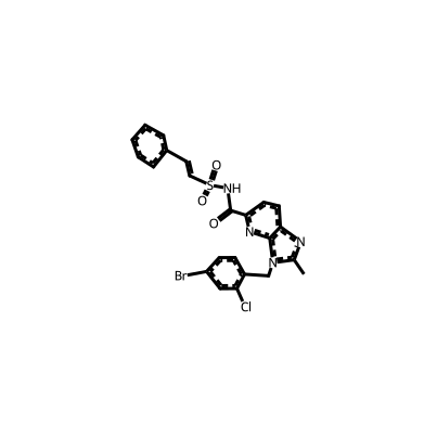 Cc1nc2ccc(C(=O)NS(=O)(=O)/C=C/c3ccccc3)nc2n1Cc1ccc(Br)cc1Cl